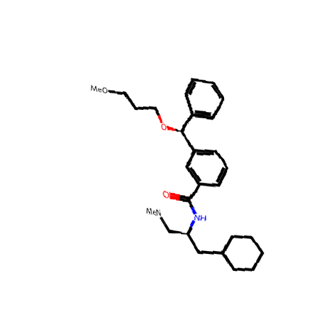 CNC[C@H](CC1CCCCC1)NC(=O)c1cccc([C@@H](OCCCOC)c2ccccc2)c1